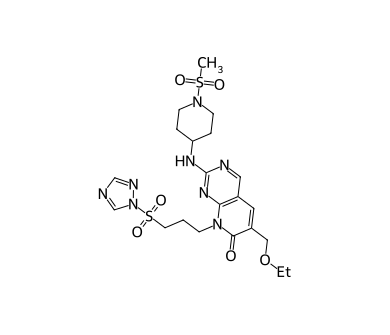 CCOCc1cc2cnc(NC3CCN(S(C)(=O)=O)CC3)nc2n(CCCS(=O)(=O)n2cncn2)c1=O